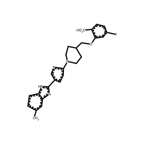 Cc1ccc2[nH]c(-c3ccc(N4CCC(COc5cc(F)ccc5C(=O)O)CC4)nc3)nc2c1